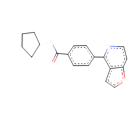 O=C(N[C@@H]1CC[C@H](O)C1)c1ccc(-c2nccc3occc23)cc1